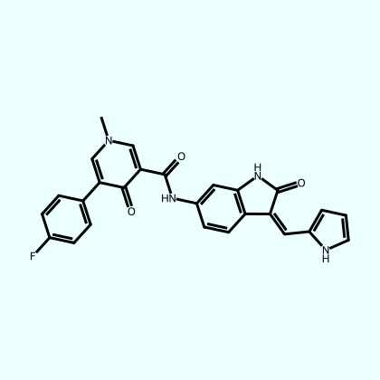 Cn1cc(C(=O)Nc2ccc3c(c2)NC(=O)C3=Cc2ccc[nH]2)c(=O)c(-c2ccc(F)cc2)c1